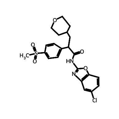 CS(=O)(=O)c1ccc(C(CC2CCOCC2)C(=O)Nc2nc3cc(Cl)ccc3o2)cc1